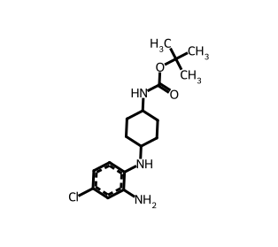 CC(C)(C)OC(=O)NC1CCC(Nc2ccc(Cl)cc2N)CC1